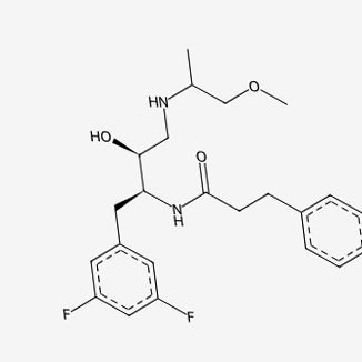 COCC(C)NC[C@H](O)[C@H](Cc1cc(F)cc(F)c1)NC(=O)CCc1ccccc1